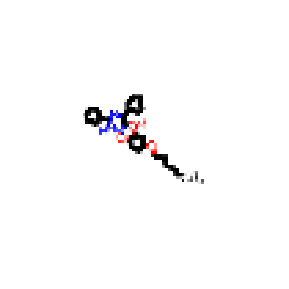 CCCCCCOc1ccc(ON2C=C(c3ccccc3)N=C(c3ccccc3)N2)c(O)c1